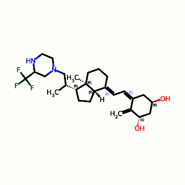 C=C1/C(=C\C=C2/CCC[C@]3(C)[C@@H](C(C)CN4CCNC(C(F)(F)F)C4)CC[C@@H]23)C[C@@H](O)C[C@@H]1O